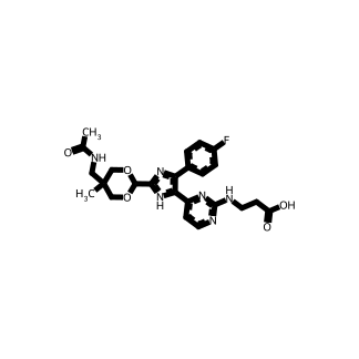 CC(=O)NCC1(C)COC(c2nc(-c3ccc(F)cc3)c(-c3ccnc(NCCC(=O)O)n3)[nH]2)OC1